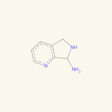 NC1NCc2cccnc21